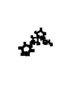 CN1CCCC12CN(c1cccnc1)C2